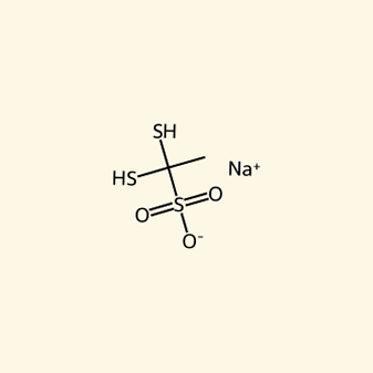 CC(S)(S)S(=O)(=O)[O-].[Na+]